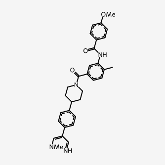 CN/C=C(\C=N)c1ccc(C2CCN(C(=O)c3ccc(C)c(NC(=O)c4ccc(OC)cc4)c3)CC2)cc1